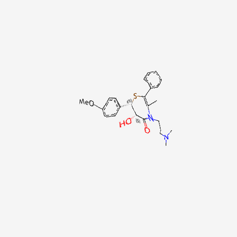 COc1ccc([C@@H]2SC(c3ccccc3)=C(C)N(CCN(C)C)C(=O)[C@@H]2O)cc1